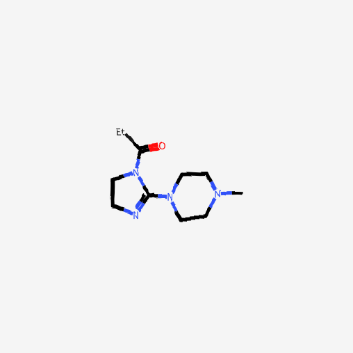 CCC(=O)N1CCN=C1N1CCN(C)CC1